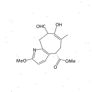 COC(=O)[C@H]1CC(C)=C(O)C(C=O)Cc2nc(OC)ccc21